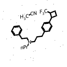 CC#N.CCCN(CCCc1ccc(C2CCC2C(F)(F)F)cc1)CCc1ccccc1